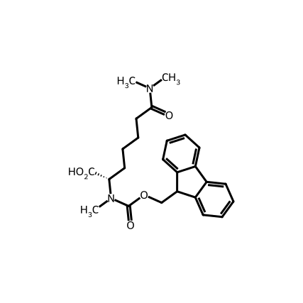 CN(C)C(=O)CCCC[C@@H](C(=O)O)N(C)C(=O)OCC1c2ccccc2-c2ccccc21